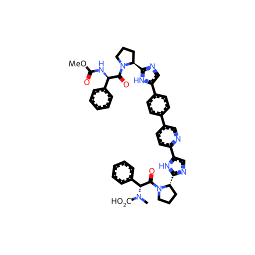 COC(=O)N[C@@H](C(=O)N1CCC[C@H]1c1ncc(-c2ccc(-c3ccc(-c4cnc([C@@H]5CCCN5C(=O)[C@@H](c5ccccc5)N(C)C(=O)O)[nH]4)nc3)cc2)[nH]1)c1ccccc1